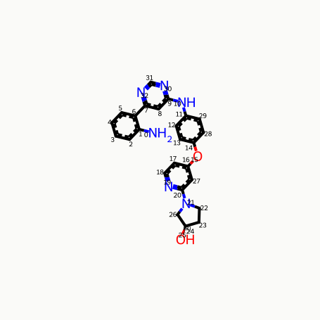 Nc1ccccc1-c1cc(Nc2ccc(Oc3ccnc(N4CC[C@@H](O)C4)c3)cc2)ncn1